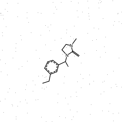 C=C1N(C)CCN1C(C)c1cccc(CC)c1